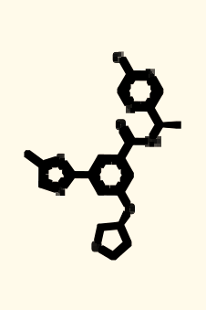 Cc1cnc(-c2cc(O[C@H]3CCOC3)cc(C(=O)N[C@H](C)c3cnc(Cl)cn3)c2)s1